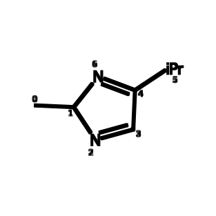 CC1N=CC(C(C)C)=N1